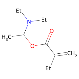 C=C(CC)C(=O)OC(C)N(CC)CC